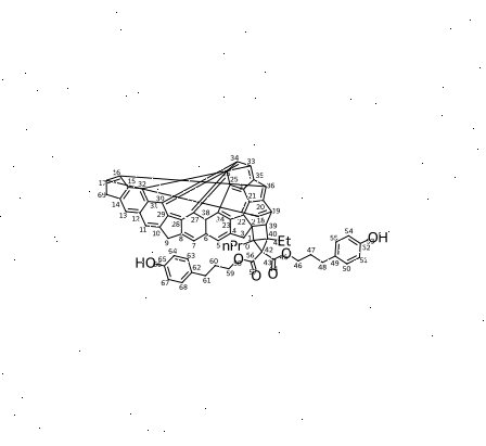 CCCC12C34CC5=CC6C=C7Cc8cc9cc%10c%11c%12c(cc(c%13c%14c3c5c3c5c%15c(c7c8c7c9c%11c(c%157)c(c%13%12)c%145)C36)C4C1(CC)C2(C(=O)OCCCc1ccc(O)cc1)C(=O)OCCCc1ccc(O)cc1)C%10